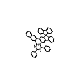 c1ccc(-c2nc(-c3ccccc3)nc(-c3cc4ccccc4cc3-c3ccc4c(c3)C3(c5ccccc5-c5ccccc53)c3ccccc3-4)n2)cc1